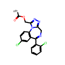 CCCC(=O)OCc1nnc2n1-c1ccc(Cl)cc1C(c1ccccc1Cl)=NC2